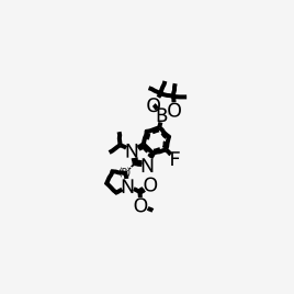 COC(=O)N1CCC[C@@H]1c1nc2c(F)cc(B3OC(C)(C)C(C)(C)O3)cc2n1C(C)C